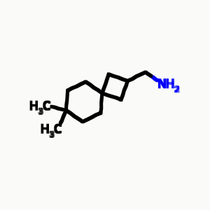 CC1(C)CCC2(CC1)CC(CN)C2